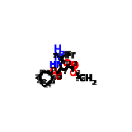 C=CCOC(=O)CCC(NC(=O)C(N)C(C)C)C(=O)OC1CCCCCCCC1